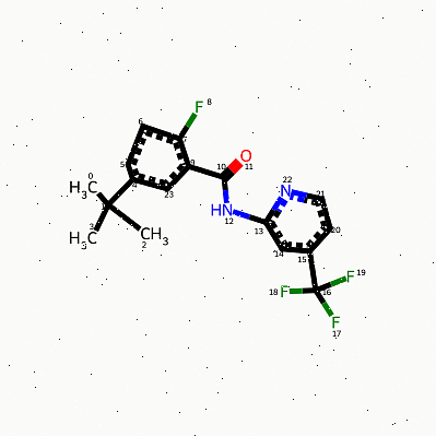 CC(C)(C)c1ccc(F)c(C(=O)Nc2cc(C(F)(F)F)ccn2)c1